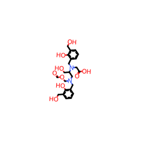 O=COCN(Cc1cccc(CO)c1O)CC(CO)N(CC(=O)O)Cc1cccc(CO)c1O